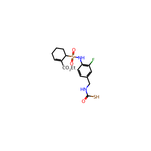 CCOC(=O)C1=CCCCC1S(=O)(=O)Nc1ccc(CNC(=O)S)cc1F